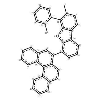 Cc1ccc2c(oc3c(-c4cc5ccccc5c5c4ccc4ccccc45)cccc32)c1-c1cccc[n+]1C